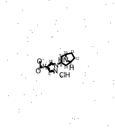 Cl.O=[N+]([O-])c1cnn(C2CC3CC[C@@H](C2)N3)c1